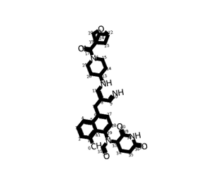 Cc1cccc2c(C/C(C=N)=C/NC3CCN(C(=O)C45COC(C4)C5)CC3)ccc(N(C=O)C3CCC(=O)NC3=O)c12